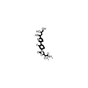 C[C@H](C(N)=O)C1CN(c2ccc(-c3ccc(C(=N)CC(O)CO)nc3)c(F)c2)C(=O)O1